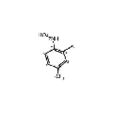 Cc1cc(C(F)(F)F)ccc1NO